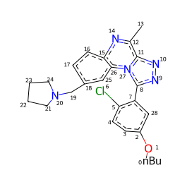 CCCCOc1ccc(Cl)c(-c2nnc3c(C)nc4ccc(CN5CCCC5)cc4n23)c1